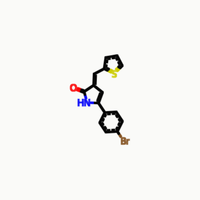 O=C1NC(c2ccc(Br)cc2)=CC1=Cc1cccs1